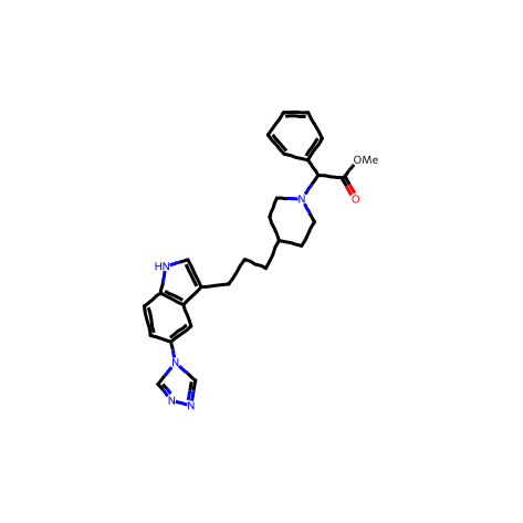 COC(=O)C(c1ccccc1)N1CCC(CCCc2c[nH]c3ccc(-n4cnnc4)cc23)CC1